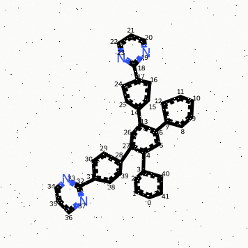 c1ccc(-c2cc(-c3ccccc3)c(-c3ccc(-c4ncccn4)cc3)cc2-c2ccc(-c3ncccn3)cc2)cc1